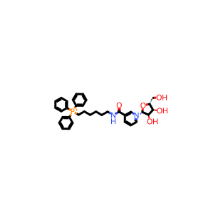 O=C(NCCCCCC[P+](c1ccccc1)(c1ccccc1)c1ccccc1)c1ccc[n+]([C@@H]2O[C@H](CO)[C@@H](O)[C@H]2O)c1